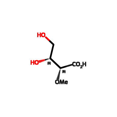 CO[C@@H](C(=O)O)[C@H](O)CO